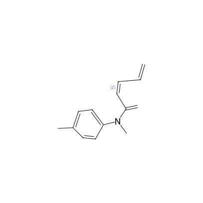 C=C/C=C\C(=C)N(C)c1ccc(C)cc1